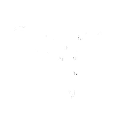 CCCCCCCCCCCCc1ccc(-c2nc(-c3ccc(C)cn3)nc(-c3ccc(C)cn3)n2)cc1